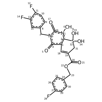 Cn1c2c(c(=O)n(Cc3ccc(F)c(F)c3)c1=O)C=C(C(=O)OCc1ccc(F)cc1)CS2(O)O